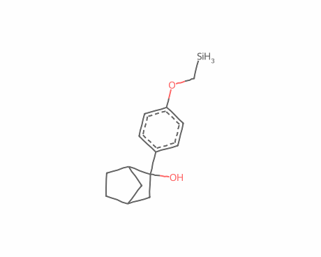 OC1(c2ccc(OC[SiH3])cc2)CC2CCC1C2